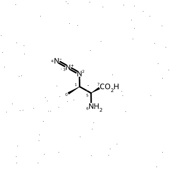 C[C@@H](N=[N+]=[N-])[C@H](N)C(=O)O